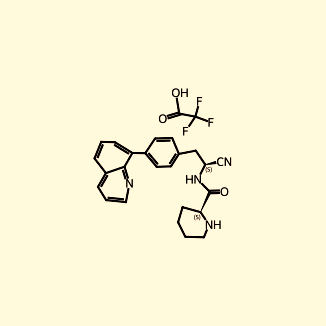 N#C[C@H](Cc1ccc(-c2cccc3cccnc23)cc1)NC(=O)[C@@H]1CCCCN1.O=C(O)C(F)(F)F